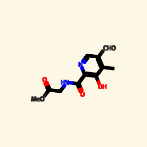 COC(=O)CNC(=O)c1ncc(C=O)c(C)c1O